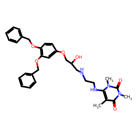 Cc1c(NCCNCC(O)COc2ccc(OCc3ccccc3)c(OCc3ccccc3)c2)n(C)c(=O)n(C)c1=O